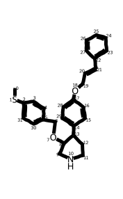 CSc1ccc(COC2CNCCC2c2ccc(OCC=Cc3ccccc3)cc2)cc1